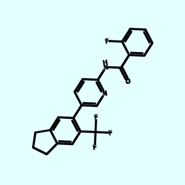 O=C(Nc1ccc(-c2cc3c(cc2C(F)(F)F)CCC3)cn1)c1ccccc1F